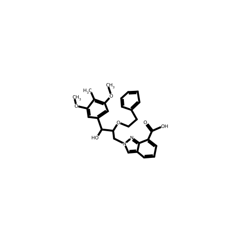 COc1cc(C(O)C(Cn2cc3cccc(C(=O)O)c3n2)OCCc2ccccc2)cc(OC)c1C